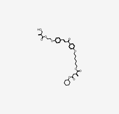 C=C(CO)C(=O)OCCOc1ccc(/C=C/C(=O)c2ccc(OCCCCCCOC(=O)C(=C)CC(=O)OC3CCCCC3)cc2)cc1